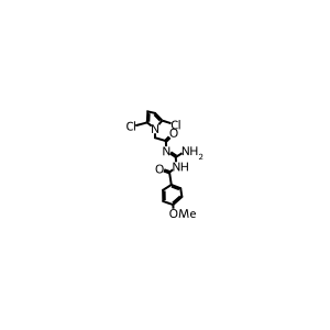 COc1ccc(C(=O)NC(N)=NC(=O)Cn2c(Cl)ccc2Cl)cc1